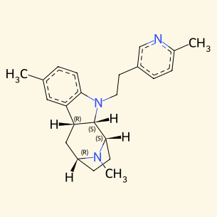 Cc1ccc2c(c1)[C@H]1C[C@H]3CC[C@@H]([C@H]1N2CCc1ccc(C)nc1)N3C